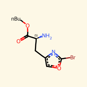 CCCCOC(=O)[C@@H](N)Cc1coc(Br)n1